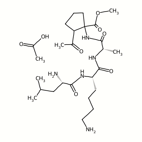 CC(=O)O.COC(=O)C1(NC(=O)[C@H](C)NC(=O)[C@H](CCCCN)NC(=O)[C@@H](N)CC(C)C)CCCC1C(C)=O